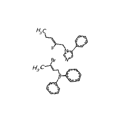 CC(Br)=CCB(c1ccccc1)c1ccccc1.CCC=C(F)Cn1cncc1-c1ccccc1